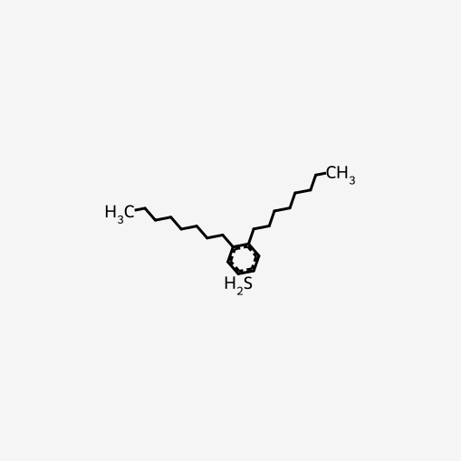 CCCCCCCCc1ccccc1CCCCCCCC.S